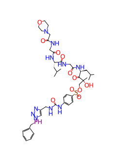 CC(C)C[C@H](NC(=O)CNC(=O)CN1CCOCC1)C(=O)NCC(=O)N[C@@H](CC(C)C)C(=O)C(C)(O)COS(=O)(=O)c1ccc(NC(=O)NCc2cn(PCc3ccccc3)nn2)cc1